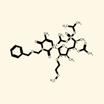 COCCO[C@@H]1[C@H](C)[C@@H]([C@@H](OC(C)=O)[C@H](C)P(=O)(OC(C)C)OC(C)C)O[C@H]1n1cc(C)c(=O)n(COCc2ccccc2)c1=O